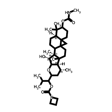 CNC(=O)OC1CCC23CC24CCC2(C)[C@@H]5C(OC(C(OC(=O)N6CCC6)C(C)C)C[C@H]5C)[C@H](O)[C@@]2(C)C4CC[C@H]3C1(C)C